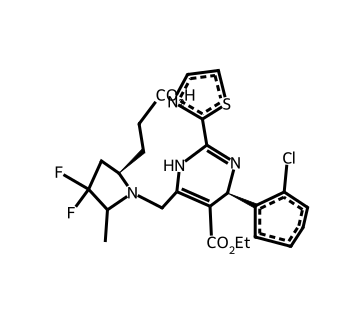 CCOC(=O)C1=C(CN2C(C)C(F)(F)C[C@H]2CCC(=O)O)NC(c2nccs2)=N[C@H]1c1ccccc1Cl